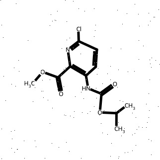 COC(=O)c1nc(Cl)ccc1NC(=O)OC(C)C